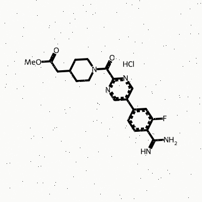 COC(=O)CC1CCN(C(=O)c2ncc(-c3ccc(C(=N)N)c(F)c3)cn2)CC1.Cl